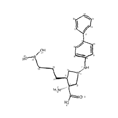 N[C@@]1(C(=O)O)CN(Nc2ccc(-c3ccccc3)cc2)C[C@@H]1CCCB(O)O